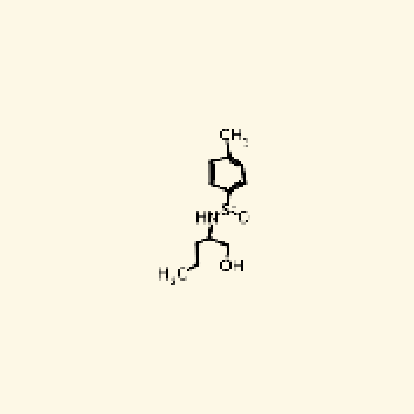 CCCC(CO)N[S+]([O-])c1ccc(C)cc1